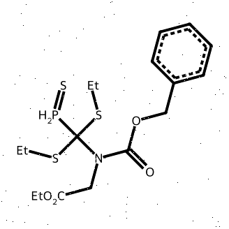 CCOC(=O)CN(C(=O)OCc1ccccc1)C([PH2]=S)(SCC)SCC